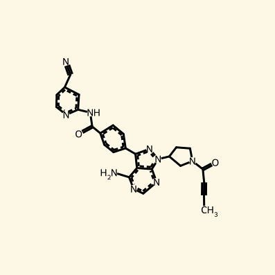 CC#CC(=O)N1CCC(n2nc(-c3ccc(C(=O)Nc4cc(C#N)ccn4)cc3)c3c(N)ncnc32)C1